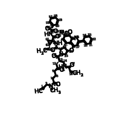 C#CCN(C)C(=O)CCCC(=O)C[C@@H](CNC(=O)C=C)C(=O)N1C[C@H](Oc2cc(-c3ccccc3)nc3cc(OC)ccc23)C[C@H]1C(=O)N[C@]1(C(=O)NS(=O)(=O)c2ccccc2)C[C@H]1C=C